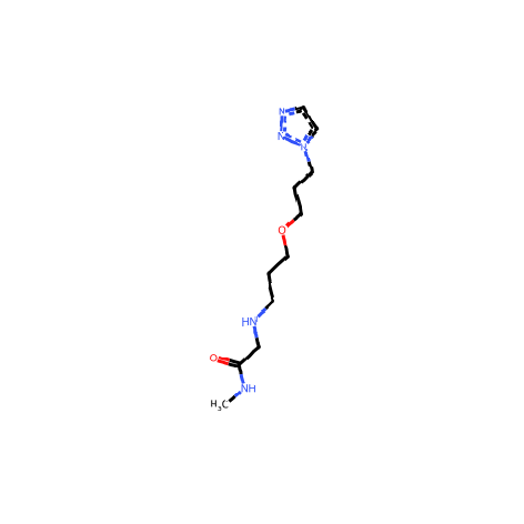 CNC(=O)CNCCCOCCCn1ccnn1